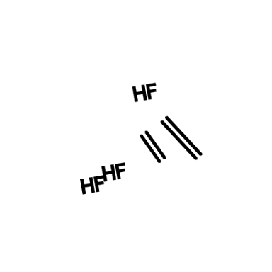 C=C.C=C.F.F.F